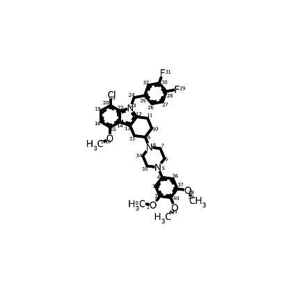 COc1cc(N2CCN(C3CCc4c(c5c(OC)ccc(Cl)c5n4Cc4ccc(F)c(F)c4)C3)CC2)cc(OC)c1OC